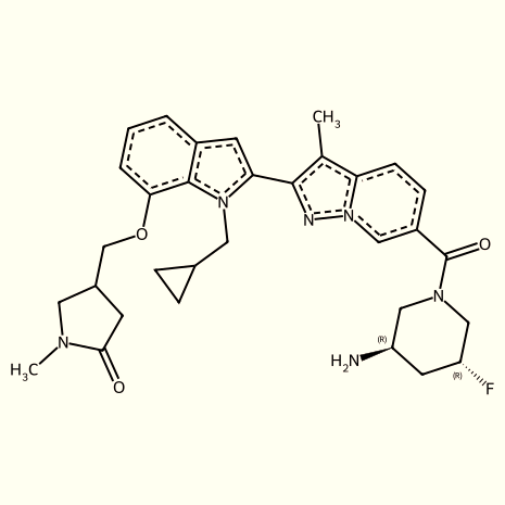 Cc1c(-c2cc3cccc(OCC4CC(=O)N(C)C4)c3n2CC2CC2)nn2cc(C(=O)N3C[C@H](N)C[C@@H](F)C3)ccc12